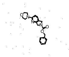 O=C(OCc1ccccc1)N1Cc2ccc(N3CCOCC3)nc2C1